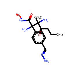 NN=Cc1ccc(C(N)(C(=O)NO)C(N)(C(=O)O)C(=O)CCC=O)cc1